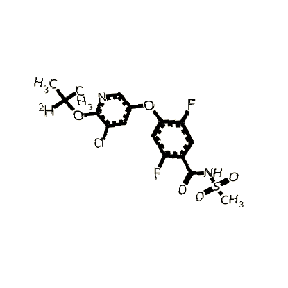 [2H]C(C)(C)Oc1ncc(Oc2cc(F)c(C(=O)NS(C)(=O)=O)cc2F)cc1Cl